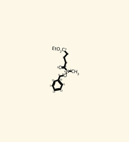 CCOC(=O)CCCC(=O)N(C)OCc1ccccc1